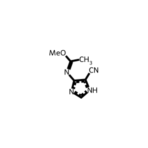 CO/C(C)=N/c1nc[nH]c1C#N